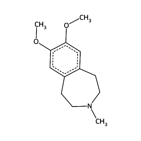 COc1cc2c(cc1OC)CCN(C)CC2